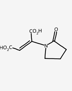 O=C(O)/C=C(\C(=O)O)N1CCCC1=O